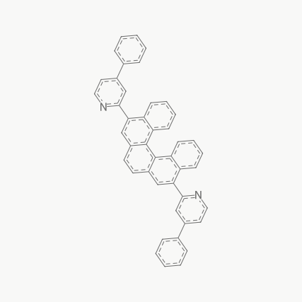 c1ccc(-c2ccnc(-c3cc4ccc5cc(-c6cc(-c7ccccc7)ccn6)c6ccccc6c5c4c4ccccc34)c2)cc1